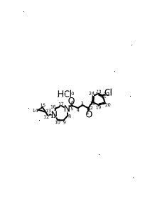 Cl.O=C(CCC(=O)N1CCCN(CC2CC2)CC1)c1ccc(Cl)cc1